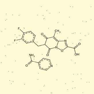 CC1=C2N=C(C(=O)O)ON2C(=O)C(Cc2ccc(F)c(F)c2)C1=O.NC(=O)c1ccncc1